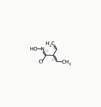 C=CC(=C\C)/C(Cl)=N/O